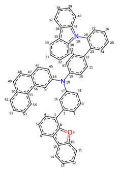 c1cc(-c2cccc3c2oc2ccccc23)cc(N(c2ccc(-c3ccccc3-n3c4ccccc4c4ccccc43)cc2)c2ccc3ccc4ccccc4c3c2)c1